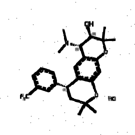 CN(C)[C@H]1c2cc3c(cc2OC(C)(C)[C@@H]1O)OC(C)(C)C[C@@H]3c1cccc(C(F)(F)F)c1.Cl